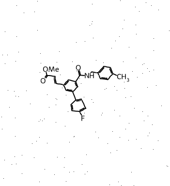 COC(=O)/C=C/c1cc(C(=O)NCc2ccc(C)cc2)cc(-c2ccc(F)cc2)c1